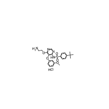 COc1cccc(Oc2c(NS(=O)(=O)c3ccc(C(C)(C)C)cc3)ncnc2OCCN)c1.Cl